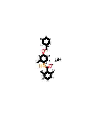 Cc1cc(OCc2ccccc2)ccc1PC(=O)c1c(C)cccc1C.[LiH]